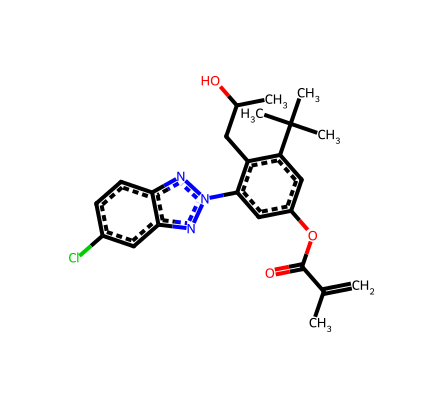 C=C(C)C(=O)Oc1cc(-n2nc3ccc(Cl)cc3n2)c(CC(C)O)c(C(C)(C)C)c1